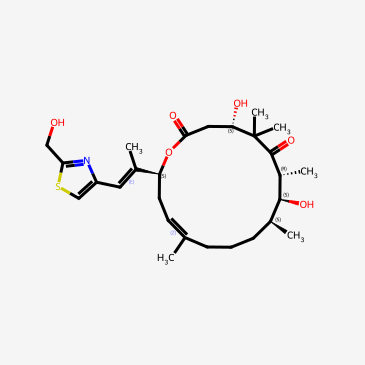 C/C1=C/C[C@@H](/C(C)=C/c2csc(CO)n2)OC(=O)C[C@H](O)C(C)(C)C(=O)[C@H](C)[C@@H](O)[C@@H](C)CCC1